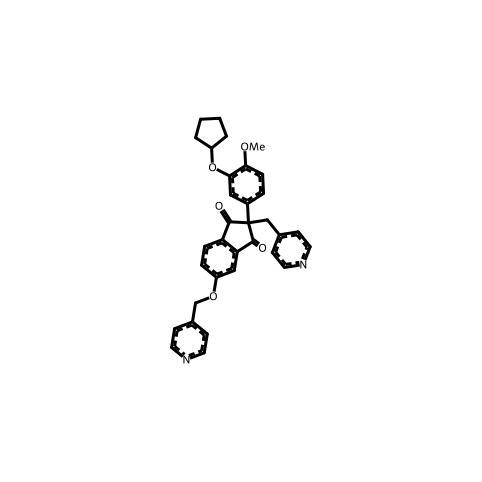 COc1ccc(C2(Cc3ccncc3)C(=O)c3ccc(OCc4ccncc4)cc3C2=O)cc1OC1CCCC1